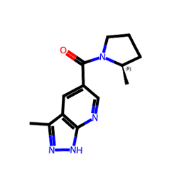 Cc1n[nH]c2ncc(C(=O)N3CCC[C@H]3C)cc12